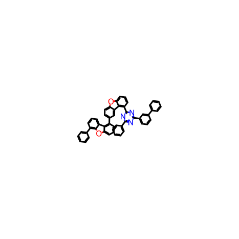 c1ccc(-c2cccc(-c3nc(-c4ccccc4)nc(-c4cccc5oc6ccc(-c7cccc8oc9c(-c%10ccccc%10)cccc9c78)cc6c45)n3)c2)cc1